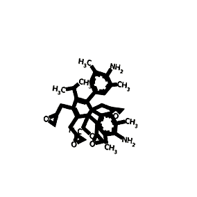 Cc1cc(C2=C(C(C)C)C(CC3CO3)=C(CC3CO3)C(CC3CO3)(C(C)C)C2(CC2CO2)c2cc(C)c(N)c(C)c2)cc(C)c1N